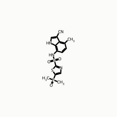 Cc1ccc(NS(=O)(=O)c2ncc(P(C)(C)=O)s2)c2[nH]cc(C#N)c12